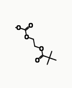 CC(C)(C)C(=O)OCCOC([O])=O